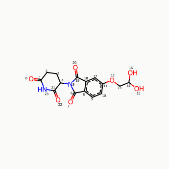 O=C1CCC(N2C(=O)c3ccc(OCC(O)O)cc3C2=O)C(=O)N1